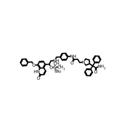 CC(C)(C)[Si](C)(C)OC(CNCc1ccc(NC(=O)CCN2CCC(C(C(N)=O)(c3ccccc3)c3ccccc3)C2)cc1)c1ccc(OCc2ccccc2)c2[nH]c(=O)ccc12